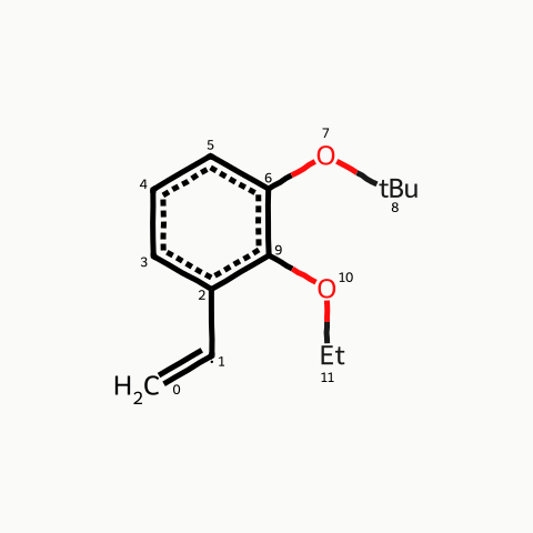 C=[C]c1cccc(OC(C)(C)C)c1OCC